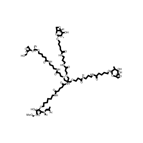 COC[C@H]1OC(N(/C=C(/C)C(C)=O)C(C)=O)[C@H](OCCCCCCNC(=O)CCCC(=O)NC(COCCC(=O)NCCCNC(=O)CCCCO[C@H](OC2CO[C@@H]2CO)C(C)C)(COCCC(=O)NCCCNC(=O)CCCCO[C@@H]2OC3CO[C@@H]3[C@H](O)C2C)COCCC(=O)NCCCNC(=O)CCCCO[C@@H]2OC3CO[C@@H]3C(O)[C@@H]2C)[C@@H]1O